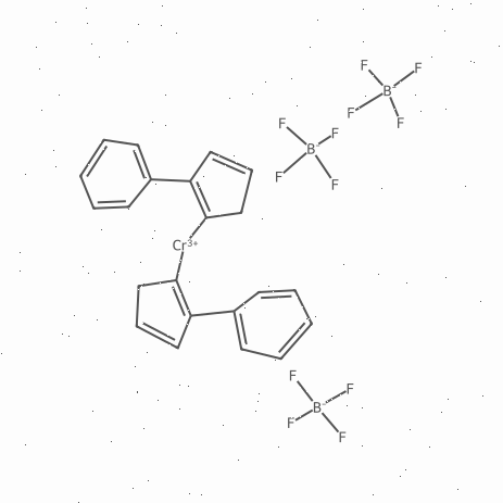 C1=CC(c2ccccc2)=[C]([Cr+3][C]2=C(c3ccccc3)C=CC2)C1.F[B-](F)(F)F.F[B-](F)(F)F.F[B-](F)(F)F